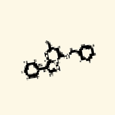 Cc1cc(OCc2ccccc2)n2ncc(-c3ccccc3)c2n1